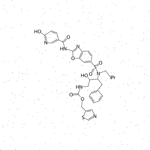 CC(C)CN(C(Cc1ccccc1)C(O)CNC(=O)OCc1cncs1)S(=O)(=O)c1ccc2nc(NC(=O)c3ccc(O)nc3)oc2c1